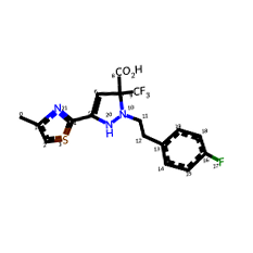 Cc1csc(C2=CC(C(=O)O)(C(F)(F)F)N(CCc3ccc(F)cc3)N2)n1